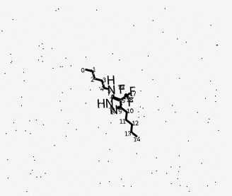 CCCCCNc1[nH]nc(CCCCC)c1C(F)(F)F